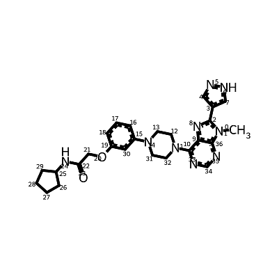 Cn1c(-c2cn[nH]c2)nc2c(N3CCN(c4cccc(OCC(=O)NC5CCCC5)c4)CC3)ncnc21